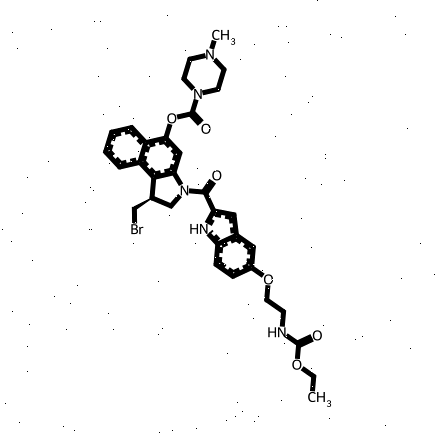 CCOC(=O)NCCOc1ccc2[nH]c(C(=O)N3C[C@@H](CBr)c4c3cc(OC(=O)N3CCN(C)CC3)c3ccccc43)cc2c1